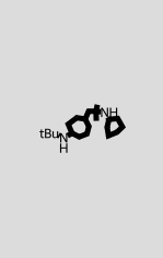 CC(C)(C)NC1CCCC(CC(C)(C)NC2CCCCC2)CC1